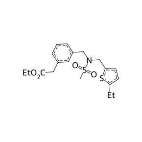 CCOC(=O)Cc1cccc(CN(Cc2ccc(CC)s2)S(C)(=O)=O)c1